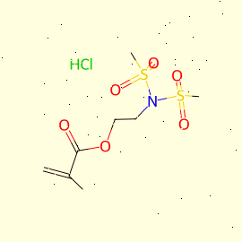 C=C(C)C(=O)OCCN(S(C)(=O)=O)S(C)(=O)=O.Cl